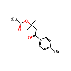 CC(C)(CC(=O)c1ccc(C(C)(C)C)cc1)OC(=O)C(C)(C)C